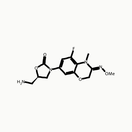 CON=C1COc2cc(N3C[C@@H](CN)OC3=O)cc(F)c2N1C